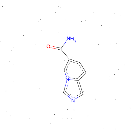 NC(=O)c1ccc2cncn2c1